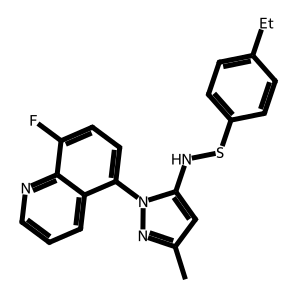 CCc1ccc(SNc2cc(C)nn2-c2ccc(F)c3ncccc23)cc1